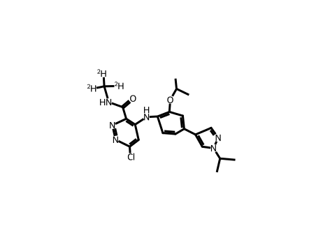 [2H]C([2H])([2H])NC(=O)c1nnc(Cl)cc1Nc1ccc(-c2cnn(C(C)C)c2)cc1OC(C)C